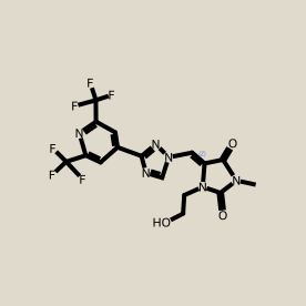 CN1C(=O)/C(=C/n2cnc(-c3cc(C(F)(F)F)nc(C(F)(F)F)c3)n2)N(CCO)C1=O